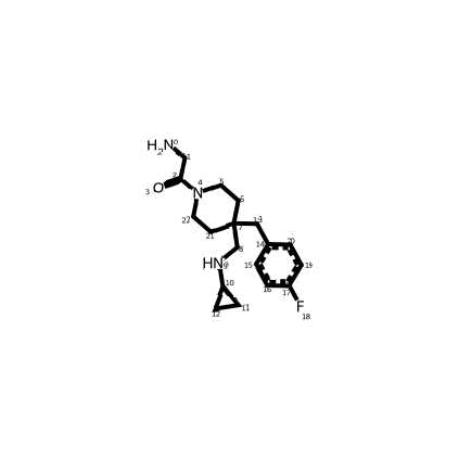 NCC(=O)N1CCC(CNC2CC2)(Cc2ccc(F)cc2)CC1